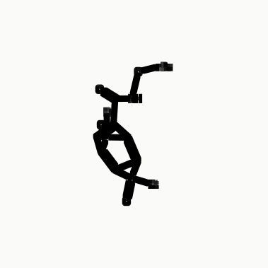 CCCCONC(=O)C1=CC2=C3C(=C1P2(=O)CC)P3(=O)CC